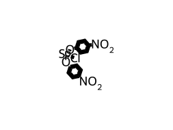 O=[N+]([O-])c1ccc(OP(=S)(Cl)Oc2ccc([N+](=O)[O-])cc2)cc1